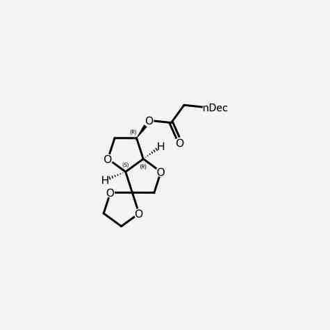 CCCCCCCCCCCC(=O)O[C@@H]1CO[C@H]2[C@@H]1OCC21OCCO1